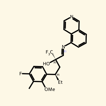 CC[C@H](C[C@@](O)(/C=N/c1cccc2cnccc12)C(F)(F)F)c1ccc(F)c(C)c1OC